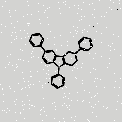 c1ccc(-c2ccc3c(c2)c2c(n3-c3ccccc3)CCC(c3ccccc3)C2)cc1